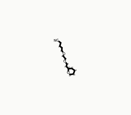 N#CCCCCOCCOCCC1CCCCO1